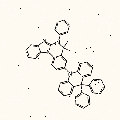 CC1(C)c2cc(N3c4ccccc4C(c4ccccc4)(c4ccccc4)c4ccccc43)ccc2-n2c(nc3ccccc32)N1c1ccccc1